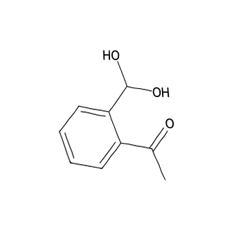 CC(=O)c1ccccc1C(O)O